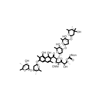 CCCCCCCCCC(=O)O[C@H](C)[C@H](O)C(=O)[C@@H](OC)[C@@H]1Cc2cc3cc(O[C@H]4C[C@@H](O[C@@H]5C[C@@H](O)[C@@H](C)C(C)O5)[C@@H](C)C(C)O4)c(C)c(O)c3c(O)c2C(=O)[C@H]1O[C@H]1C[C@@H](O[C@H]2C[C@@H](O[C@H]3CC(C)(O)[C@@H](C)C(C)O3)[C@H](O)C(C)O2)[C@H](O)C(C)O1